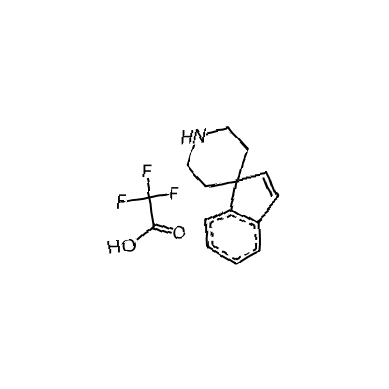 C1=CC2(CCNCC2)c2ccccc21.O=C(O)C(F)(F)F